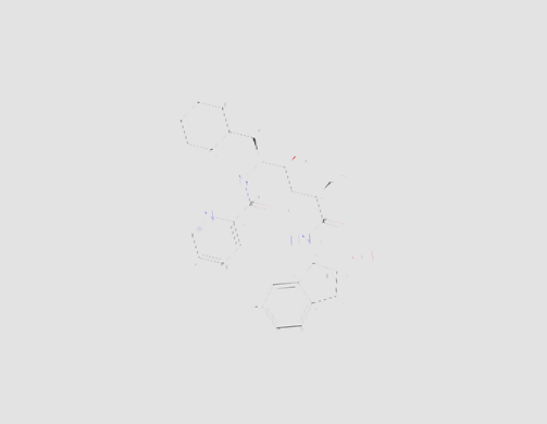 CC(C)[C@H](C[C@H](O)[C@H](CC1CCCCC1)NC(=O)c1ccccn1)C(=O)N[C@H]1c2ccccc2C[C@H]1O